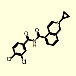 O=C(NC(=O)c1cccc2c1C=CN(C1CC1)C2)c1ccc(Cl)c(Cl)c1